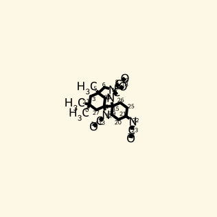 CC1(C)CC(C)(CN=C=O)CC(N=C=O)(C2(N=C=O)CCC(N=C=O)CC2)C1